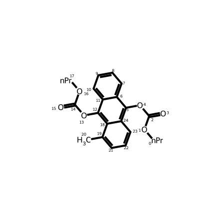 CCCOC(=O)Oc1c2ccccc2c(OC(=O)OCCC)c2c(C)cccc12